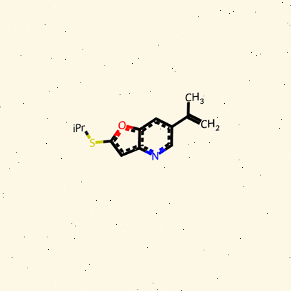 C=C(C)c1cnc2cc(SC(C)C)oc2c1